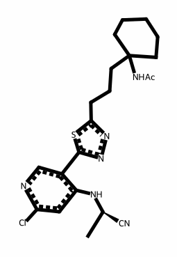 CC(=O)NC1(CCCc2nnc(-c3cnc(Cl)cc3N[C@H](C)C#N)s2)CCCCC1